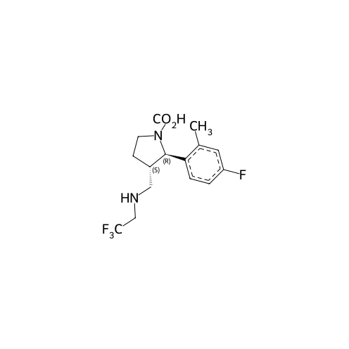 Cc1cc(F)ccc1[C@H]1[C@H](CNCC(F)(F)F)CCN1C(=O)O